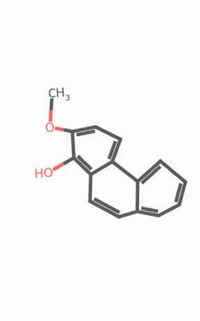 COc1ccc2c(ccc3ccccc32)c1O